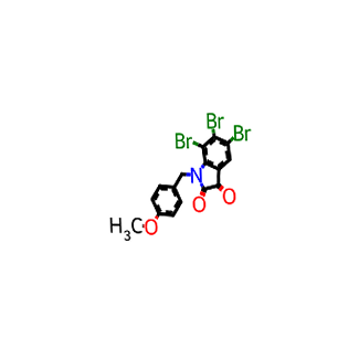 COc1ccc(CN2C(=O)C(=O)c3cc(Br)c(Br)c(Br)c32)cc1